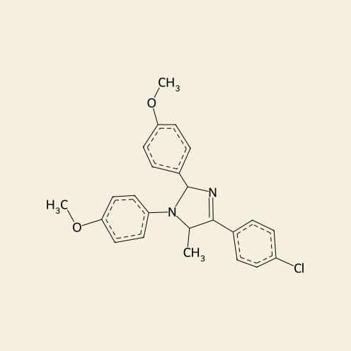 COc1ccc(C2N=C(c3ccc(Cl)cc3)C(C)N2c2ccc(OC)cc2)cc1